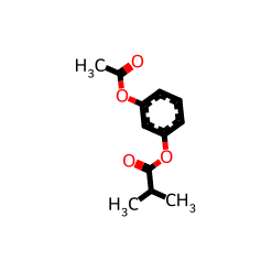 CC(=O)Oc1cccc(OC(=O)C(C)C)c1